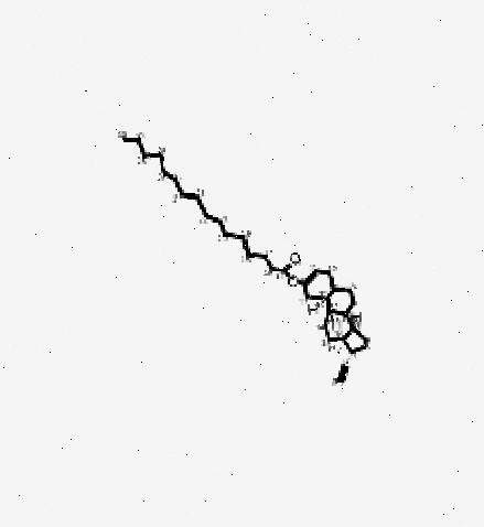 C#C[C@H]1CC[C@H]2[C@@H]3CCC4CC=C(OC(=O)CCCCCCCCCCCCCCC)C[C@@H]4[C@H]3CC[C@]12C